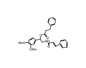 COc1ccc(C(CNC(=O)C=Cc2ccccc2)OC(=O)CCc2ccccc2)cc1OC